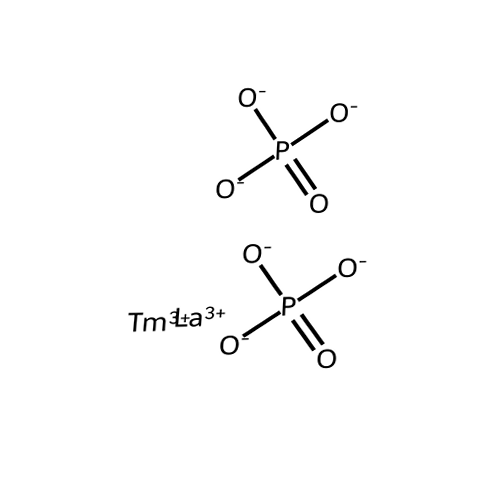 O=P([O-])([O-])[O-].O=P([O-])([O-])[O-].[La+3].[Tm+3]